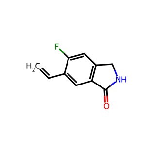 C=Cc1cc2c(cc1F)CNC2=O